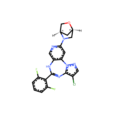 Fc1cccc(F)c1C1=Nc2c(Cl)cnn2-c2cc(N3C[C@H]4C[C@@H]3CO4)ncc2N1